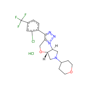 Cl.FC(F)(F)c1ccc(-c2nnn3c2CO[C@H]2CN(C4CCOCC4)C[C@@H]23)c(Cl)c1